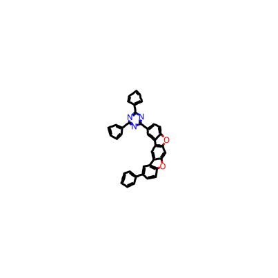 c1ccc(-c2ccc3oc4cc5oc6ccc(-c7nc(-c8ccccc8)nc(-c8ccccc8)n7)cc6c5cc4c3c2)cc1